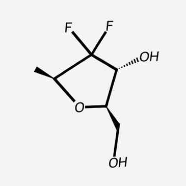 C[C@@H]1O[C@H](CO)[C@@H](O)C1(F)F